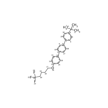 CC(C)(C)c1ccc(-c2ccc(-c3ccc(OCCCCC(F)(F)F)cc3)cc2)cc1